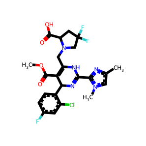 COC(=O)C1=C(CN2CC(F)(F)CC2C(=O)O)NC(c2nc(C)cn2C)=NC1c1ccc(F)cc1Cl